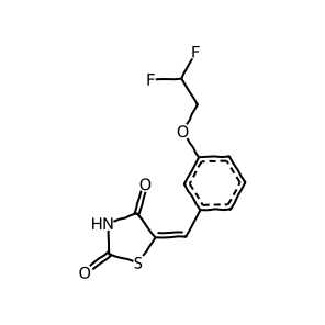 O=C1NC(=O)/C(=C\c2cccc(OCC(F)F)c2)S1